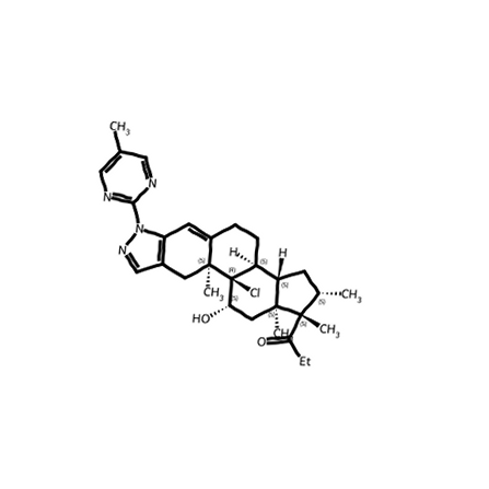 CCC(=O)[C@@]1(C)[C@@H](C)C[C@H]2[C@@H]3CCC4=Cc5c(cnn5-c5ncc(C)cn5)C[C@]4(C)[C@@]3(Cl)[C@@H](O)C[C@@]21C